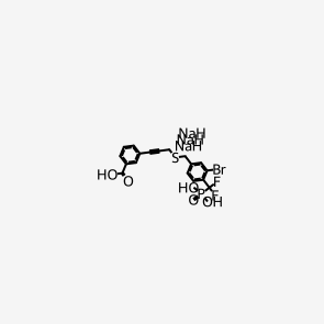 O=C(O)c1cccc(C#CCSCc2ccc(C(F)(F)P(=O)(O)O)c(Br)c2)c1.[NaH].[NaH].[NaH]